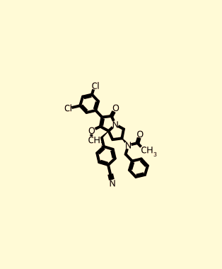 COC1=C(c2cc(Cl)cc(Cl)c2)C(=O)N2C[C@@H](N(Cc3ccccc3)C(C)=O)C[C@]12Cc1ccc(C#N)cc1